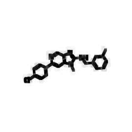 Cc1cccc(CNc2nc3cnc(-c4ccc(Cl)cc4)cc3n2C)c1